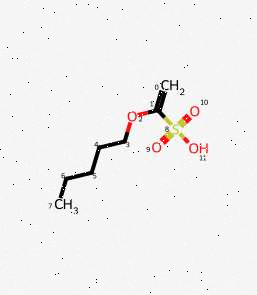 C=C(OCCCCC)S(=O)(=O)O